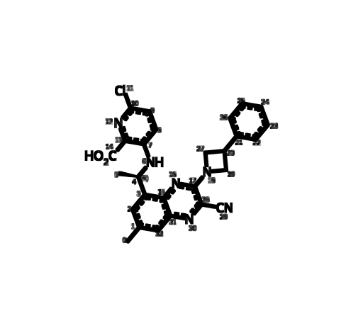 Cc1cc([C@@H](C)Nc2ccc(Cl)nc2C(=O)O)c2nc(N3CC(c4ccccc4)C3)c(C#N)nc2c1